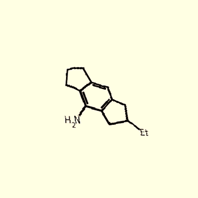 CCC1Cc2cc3c(c(N)c2C1)CCC3